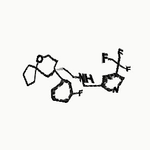 Fc1cccc([C@]2(CCNCc3cncc(C(F)(F)F)c3)CCOC3(CCCC3)C2)c1